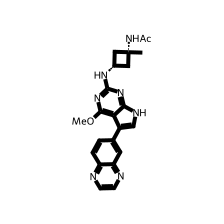 COc1nc(N[C@H]2C[C@@](C)(NC(C)=O)C2)nc2[nH]cc(-c3ccc4nccnc4c3)c12